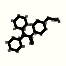 NC[C@H]1CC[C@H](C(=O)N(C2CCCCC2)C2CCCCC2)CC1